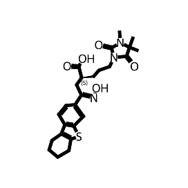 CN1C(=O)N(CCC[C@@H](CC(=NO)c2ccc3c4c(sc3c2)CCCC4)C(=O)O)C(=O)C1(C)C